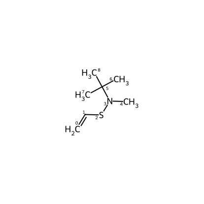 C=CSN(C)C(C)(C)C